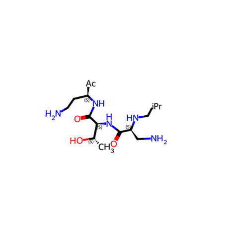 CC(=O)[C@H](CCN)NC(=O)[C@@H](NC(=O)[C@H](CN)NCC(C)C)[C@H](C)O